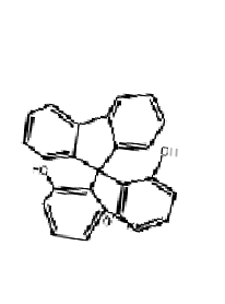 Oc1cccc(O)c1C1(c2c(O)cccc2O)c2ccccc2-c2ccccc21